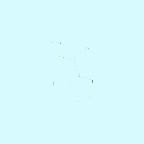 CCCCCCCC(CCC)N1CCCC1.I